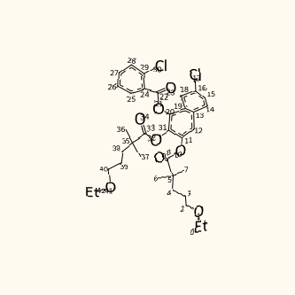 CCOCCCC(C)(C)C(=O)Oc1cc2ccc(Cl)cc2c(OC(=O)c2ccccc2Cl)c1OC(=O)C(C)(C)CCCOCC